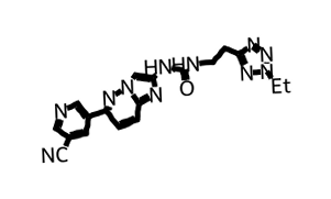 CCn1nnc(CCNC(=O)Nc2cn3nc(-c4cncc(C#N)c4)ccc3n2)n1